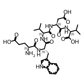 CC(C)[C@H](NC(=O)[C@H](CC(=O)O)NC(=O)[C@@H](NC(=O)[C@H](Cc1c[nH]c2ccccc12)NC(=O)[C@@H](N)CCC(=O)O)C(C)C)C(=O)O